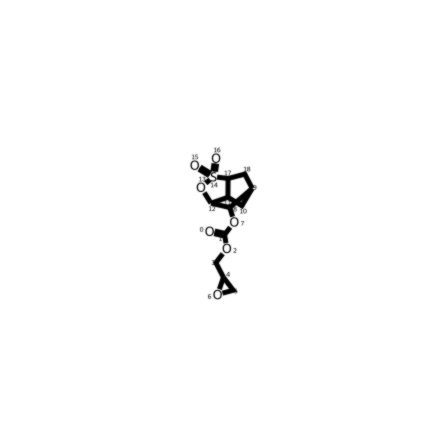 O=C(OCC1CO1)OC1C2CC3C1OS(=O)(=O)C3C2